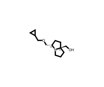 OC[C@@]12CCCN1[C@H](COCC1CC1)CC2